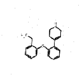 CCc1ccccc1Sc1ccccc1C1=CCNCC1